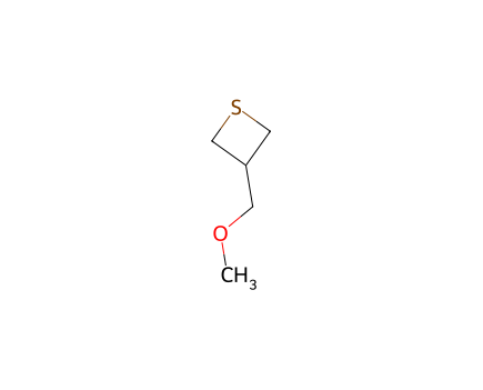 COCC1CSC1